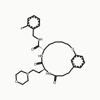 O=C1CCc2cccc(c2)OCCCC[C@@H](C(=O)NCc2ccccc2F)NC(=O)[C@H](CCN2CCOCC2)N1